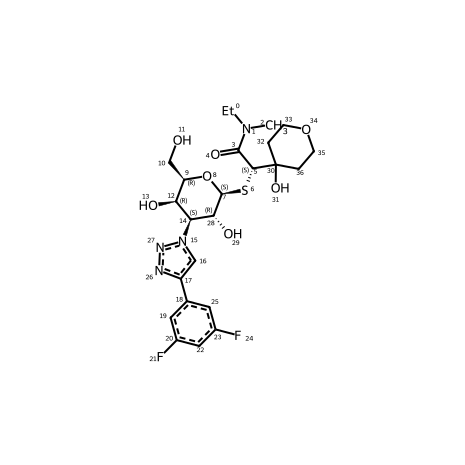 CCN(C)C(=O)[C@@H](S[C@@H]1O[C@H](CO)[C@H](O)[C@H](n2cc(-c3cc(F)cc(F)c3)nn2)[C@H]1O)C1(O)CCOCC1